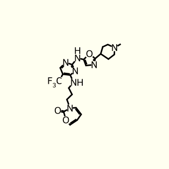 CN1CCC(c2ncc(Nc3ncc(C(F)(F)F)c(NCCCN4C=CC=COC4=O)n3)o2)CC1